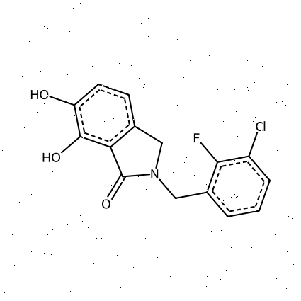 O=C1c2c(ccc(O)c2O)CN1Cc1cccc(Cl)c1F